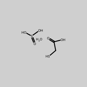 O.O=C(O)CS.O=S(O)O